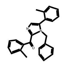 Cc1ccccc1C(=O)c1ncc(-c2ccccc2C)n1Cc1ccccc1